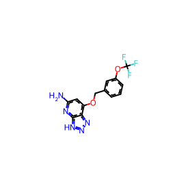 Nc1cc(OCc2cccc(OC(F)(F)F)c2)c2nn[nH]c2n1